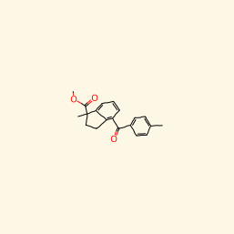 COC(=O)C1(C)CCc2c(C(=O)c3ccc(C)cc3)cccc21